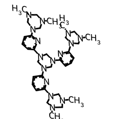 CN1CN(C)CN(c2cccc(N3CN(c4cccc(N5CN(C)CN(C)C5)n4)CN(c4cccc(N5CN(C)CN(C)C5)n4)C3)n2)C1